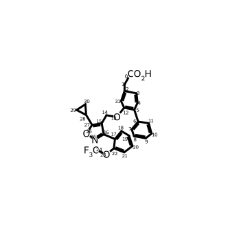 O=C(O)Cc1ccc(-c2ccccc2)c(OCc2c(-c3ccccc3OC(F)(F)F)noc2C2CC2)c1